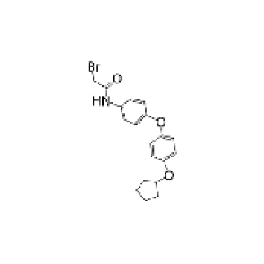 O=C(CBr)Nc1ccc(Oc2ccc(OC3CCCC3)cc2)cc1